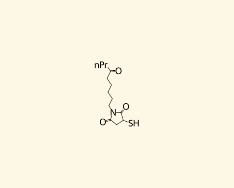 CCCC(=O)CCCCCN1C(=O)CC(S)C1=O